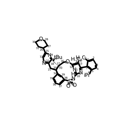 Cc1cccc(C(C)C)c1-c1nc2nc(c1C)OC[C@@H](CC(C)(C)C)C(Cc1cnc(C3CCOCC3)cn1)c1cccc(c1)S(=O)(=O)N2